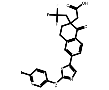 O=C(O)CC1(CC(F)(F)F)CCc2cc(-c3cnc(Nc4ccc(I)nc4)s3)ccc2C1=O